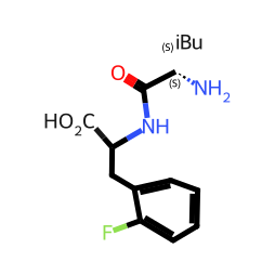 CC[C@H](C)[C@H](N)C(=O)NC(Cc1ccccc1F)C(=O)O